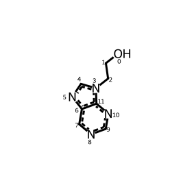 OCCn1cnc2cncnc21